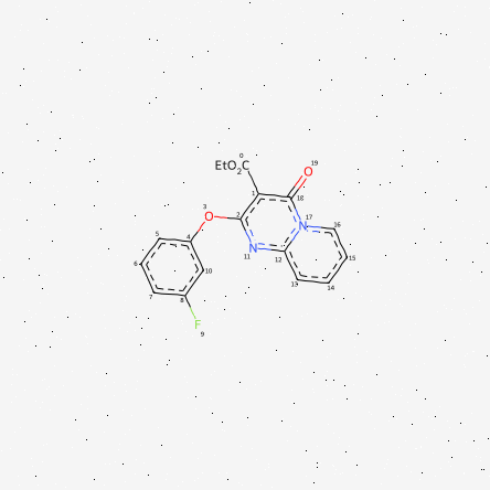 CCOC(=O)c1c(Oc2cccc(F)c2)nc2ccccn2c1=O